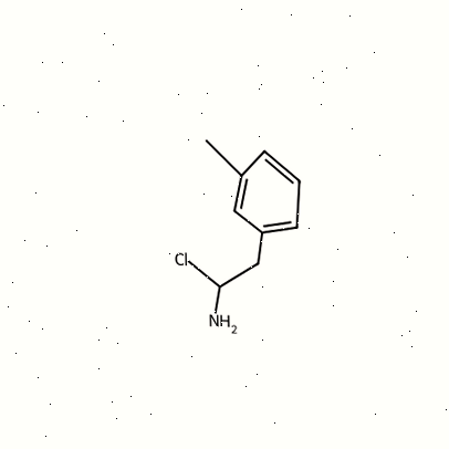 Cc1cccc(CC(N)Cl)c1